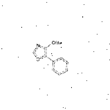 COc1n[c]oc1-c1ccccc1